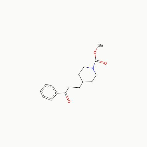 CC(C)(C)OC(=O)N1CCC(CCC(=O)c2ccccc2)CC1